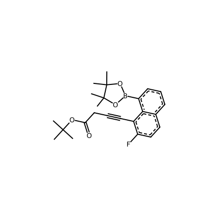 CC(C)(C)OC(=O)CC#Cc1c(F)ccc2cccc(B3OC(C)(C)C(C)(C)O3)c12